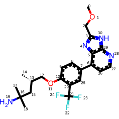 COCc1nc2c(-c3ccc(OC[C@@H](C)CC(C)(C)N)c(C(F)(F)F)c3)ccnc2[nH]1